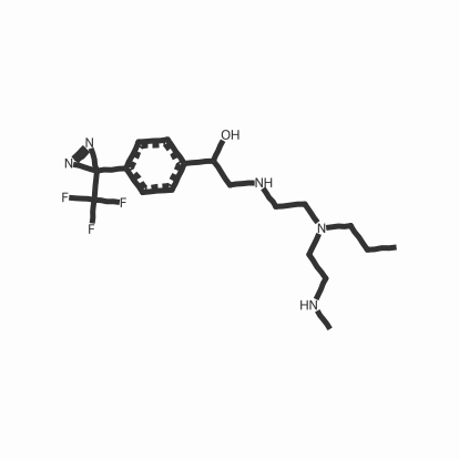 CCCN(CCNC)CCNCC(O)c1ccc(C2(C(F)(F)F)N=N2)cc1